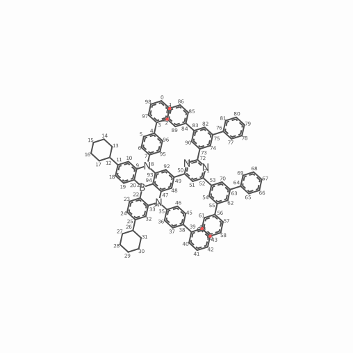 c1ccc(-c2ccc(N3c4cc(C5CCCCC5)ccc4B4c5ccc(C6CCCCC6)cc5N(c5ccc(-c6ccccc6)cc5)c5cc(-c6cc(-c7cc(-c8ccccc8)cc(-c8ccccc8)c7)nc(-c7cc(-c8ccccc8)cc(-c8ccccc8)c7)n6)cc3c54)cc2)cc1